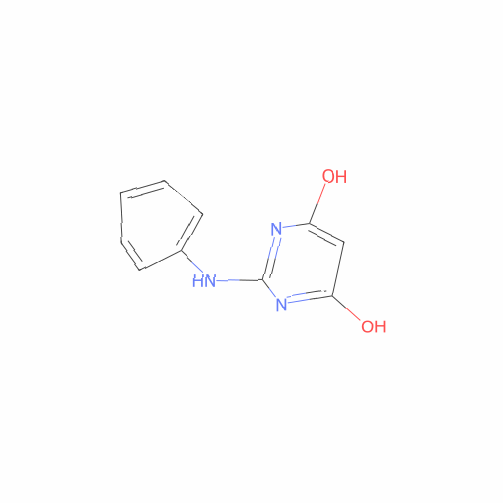 Oc1cc(O)nc(Nc2ccccc2)n1